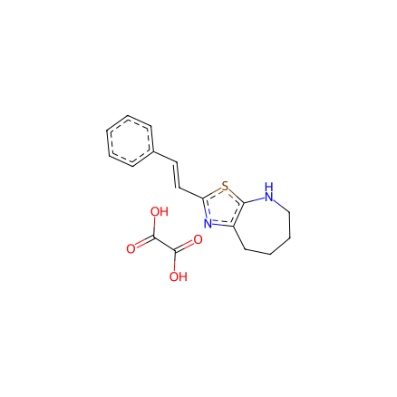 C(=Cc1nc2c(s1)NCCCC2)c1ccccc1.O=C(O)C(=O)O